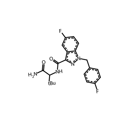 CC(C)(C)C(NC(=O)c1nn(Cc2ccc(F)cc2)c2ccc(F)cc12)C(N)=O